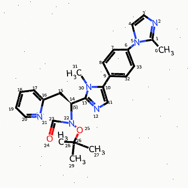 Cc1nccn1-c1ccc(-c2cnc([C@H](Cc3ccccn3)N(C=O)OC(C)(C)C)n2C)cc1